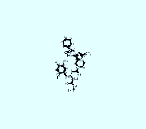 CC(C)(C)OC(=O)N[C@@H](CC(=O)N1CCn2c(C(F)(F)F)nc(NS(=O)(=O)c3ccccc3)c2C1)Cc1cc(F)c(F)cc1F